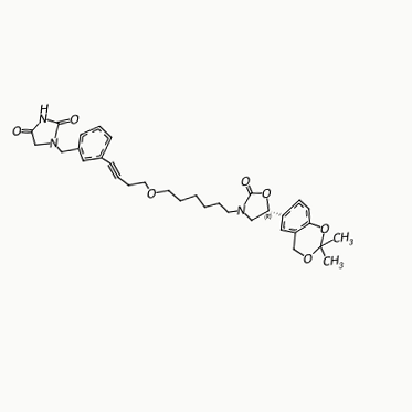 CC1(C)OCc2cc([C@@H]3CN(CCCCCCOCCC#Cc4cccc(CN5CC(=O)NC5=O)c4)C(=O)O3)ccc2O1